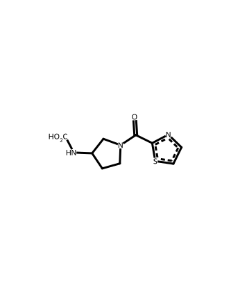 O=C(O)NC1CCN(C(=O)c2nccs2)C1